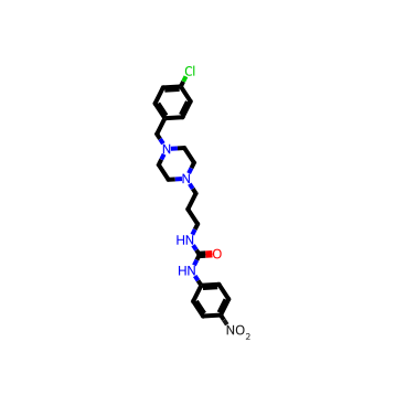 O=C(NCCCN1CCN(Cc2ccc(Cl)cc2)CC1)Nc1ccc([N+](=O)[O-])cc1